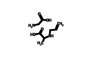 C=CCNC(C)C(=O)O.NCC(=O)O